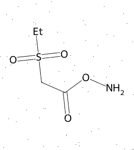 CCS(=O)(=O)CC(=O)ON